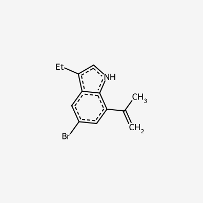 C=C(C)c1cc(Br)cc2c(CC)c[nH]c12